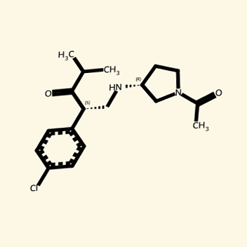 CC(=O)N1CC[C@@H](NC[C@@H](C(=O)C(C)C)c2ccc(Cl)cc2)C1